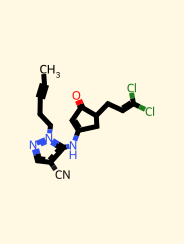 CC#CCCn1ncc(C#N)c1NC1=CC(=O)C(CC=C(Cl)Cl)C1